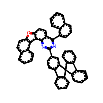 c1ccc2c(c1)-c1ccccc1C21c2ccccc2-c2ccc(-c3nc(-c4cccc5ccccc45)c4ccc5oc6ccc7ccccc7c6c5c4n3)cc21